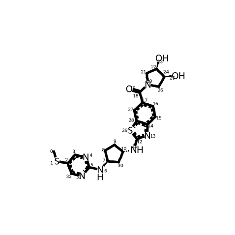 CSc1cnc(N[C@H]2CC[C@H](Nc3nc4ccc(C(=O)N5C[C@@H](O)[C@@H](O)C5)cc4s3)C2)nc1